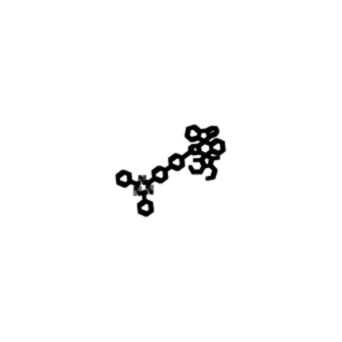 C/C=C\C1=C(C)C2(C(C)=C1/C=C\C)c1ccccc1C1(c3ccccc3-c3ccccc31)c1ccc(-c3ccc(-c4ccc(-c5nc(-c6ccccc6)nc(-c6ccccc6)n5)cc4)cc3)cc12